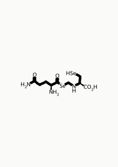 NC(=O)CC[C@H](N)C(=O)[Se]CN[C@@H](C[SeH])C(=O)O